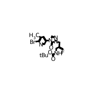 Cc1cc(-n2cnn(CC(=CF)CNC(=O)OC(C)(C)C)c2=O)cnc1Br